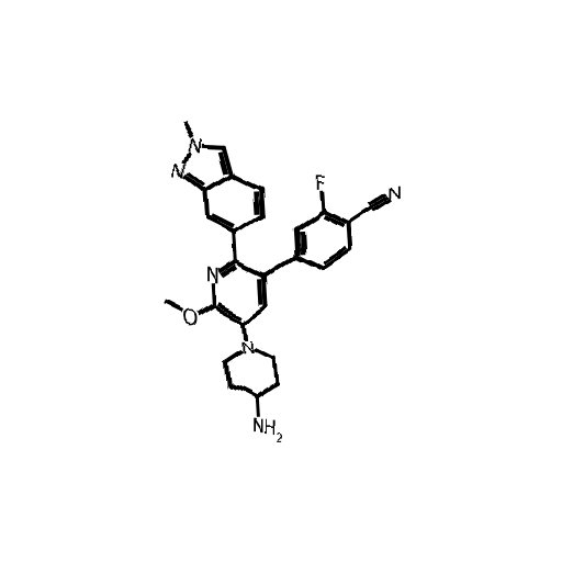 COc1nc(-c2ccc3cn(C)nc3c2)c(-c2ccc(C#N)c(F)c2)cc1N1CCC(N)CC1